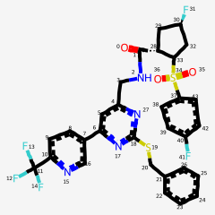 O=C(NCc1cc(-c2ccc(C(F)(F)F)nc2)nc(SCc2ccccc2)n1)[C@@H]1C[C@@H](F)CC1S(=O)(=O)c1ccc(F)cc1